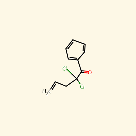 C=CCC(Cl)(Cl)C(=O)c1ccccc1